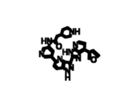 O=C(CC1CCNCC1)Nc1cncc(-c2ccc3[nH]nc(-c4nc5c(-c6ccoc6)ccnc5[nH]4)c3n2)c1